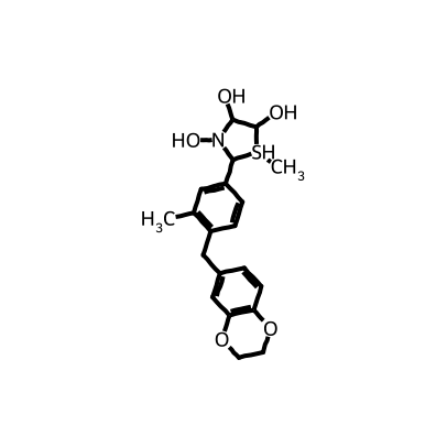 Cc1cc(C2N(O)C(O)C(O)[SH]2C)ccc1Cc1ccc2c(c1)OCCO2